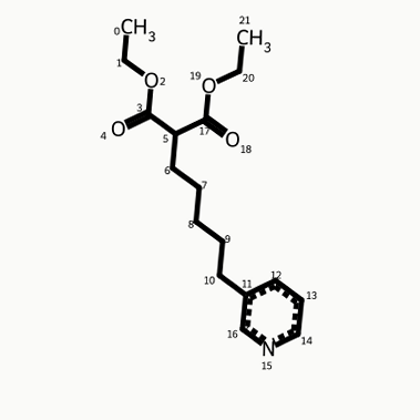 CCOC(=O)C(CCCCCc1cccnc1)C(=O)OCC